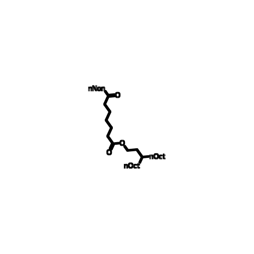 CCCCCCCCCC(=O)CCCCCC(=O)OCCC(CCCCCCCC)CCCCCCCC